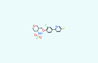 CS(=O)(=O)N[C@@H]1CCOC[C@H]1COc1ccc(-c2ccc(F)cn2)cc1F